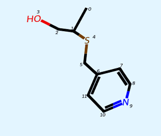 CC(CO)SCc1ccncc1